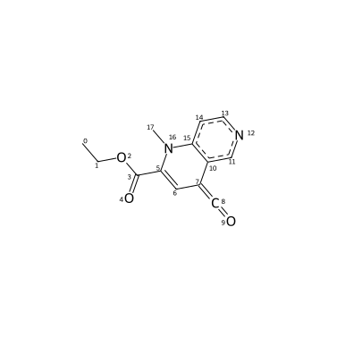 CCOC(=O)C1=CC(=C=O)c2cnccc2N1C